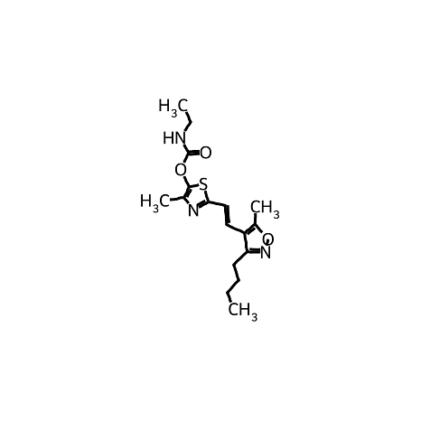 CCCCc1noc(C)c1/C=C/c1nc(C)c(OC(=O)NCC)s1